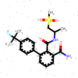 CC(CS(C)(=O)=O)NC(=O)c1c(C(N)=O)cccc1-c1ccc(C(F)(C(F)(F)F)C(F)(F)F)cc1